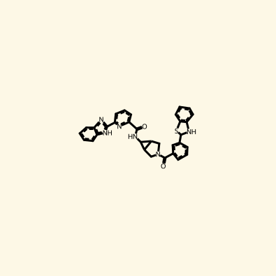 O=C(NC1C2CN(C(=O)c3cccc(C4Nc5ccccc5S4)c3)CC21)c1cccc(-c2nc3ccccc3[nH]2)n1